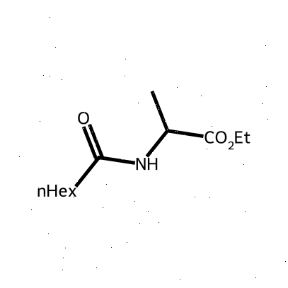 CCCCCCC(=O)NC(C)C(=O)OCC